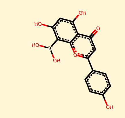 O=c1cc(-c2ccc(O)cc2)oc2c(B(O)O)c(O)cc(O)c12